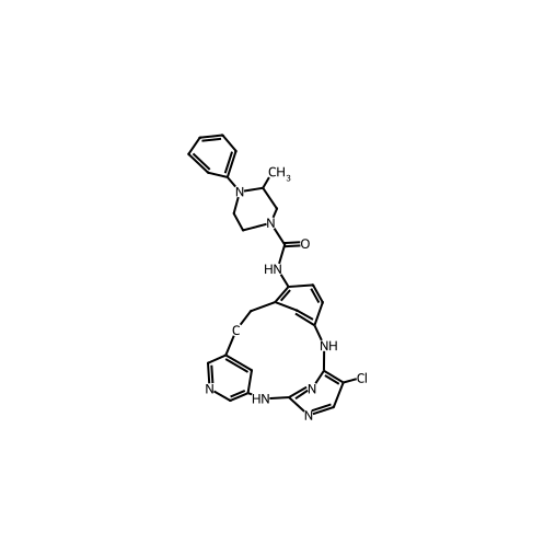 CC1CN(C(=O)Nc2ccc3cc2CCc2cncc(c2)Nc2ncc(Cl)c(n2)N3)CCN1c1ccccc1